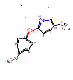 CC(C)(C)Oc1ccc(Oc2ccc(C(F)(F)F)cn2)cc1